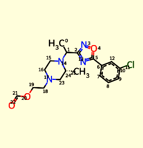 CC(c1noc(-c2cccc(Cl)c2)n1)N1CCN(CCOC=O)C[C@H]1C